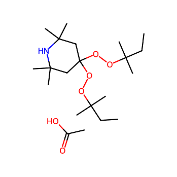 CC(=O)O.CCC(C)(C)OOC1(OOC(C)(C)CC)CC(C)(C)NC(C)(C)C1